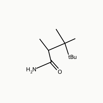 CC(C(N)=O)C(C)(C)C(C)(C)C